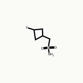 NS(=O)(=O)CC1CC(F)C1